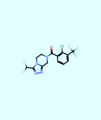 O=C(c1cccc(C(F)(F)F)c1Cl)N1CCn2c(nnc2C(F)F)C1